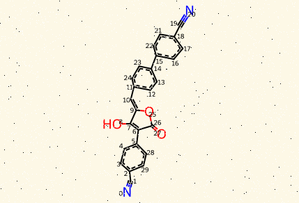 N#Cc1ccc(C2=C(O)/C(=C/c3ccc(-c4ccc(C#N)cc4)cc3)OC2=O)cc1